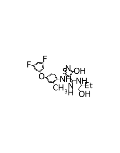 CC[C@H](CO)NC(=N)c1c(O)nsc1Nc1ccc(Oc2cc(F)cc(F)c2)cc1C